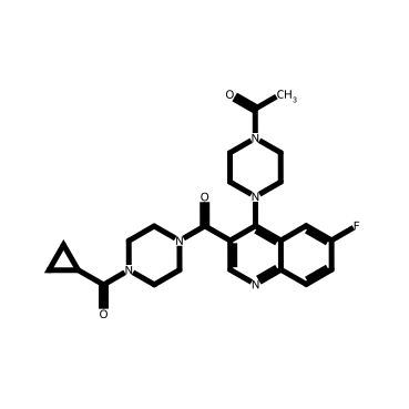 CC(=O)N1CCN(c2c(C(=O)N3CCN(C(=O)C4CC4)CC3)cnc3ccc(F)cc23)CC1